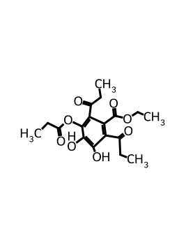 CCOC(=O)c1c(C(=O)CC)c(O)c(O)c(OC(=O)CC)c1C(=O)CC